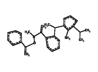 C=C(ON(C)C(=C)c1ccccc1C(C)c1cccc(C(C)C)c1N)c1ccccc1